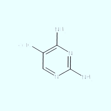 Nc1ncc(C=O)c(N)n1